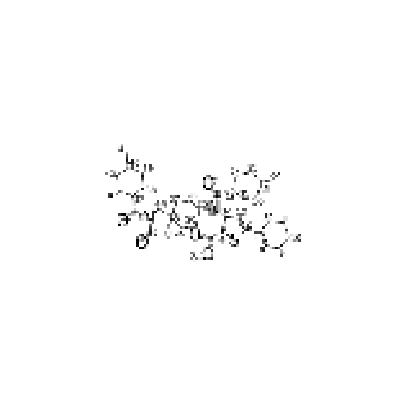 COC(=O)c1sc(C2=CCCCC2)cc1N(C(=O)[C@H]1CC[C@H](C)CC1)[C@H]1CC[C@@]2(CC1)CC(=O)N(C(=O)[C@H]1CC[C@H](C)CC1)C2